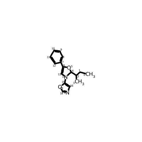 CCC(C)C1OC(c2ccccc2)=[C]N1c1cnco1